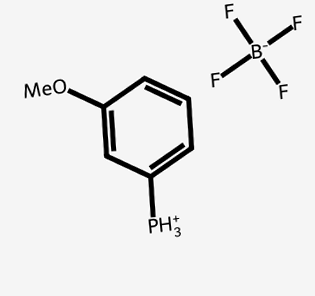 COc1cccc([PH3+])c1.F[B-](F)(F)F